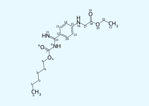 CCCCCCOC(=O)NC(=N)c1ccc(NCC(=O)OCC)cc1